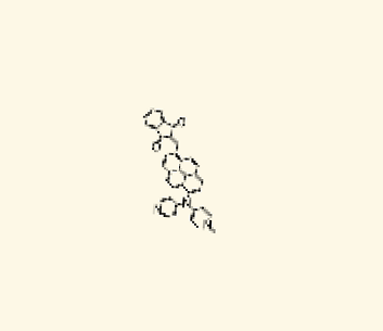 C=N/C=C\C(=C/C)N(c1ccncc1)c1ccc2ccc3c(C=C4C(=O)c5ccccc5C4=O)ccc4ccc1c2c43